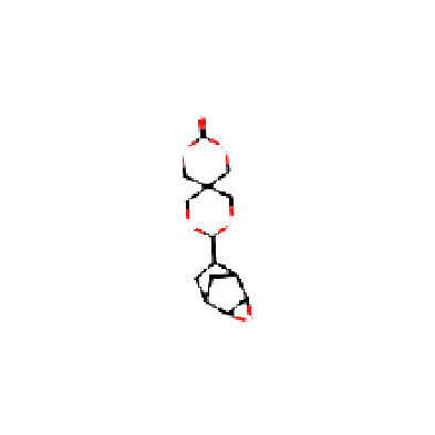 O=C1OCC2(CO1)COC(C1CC3CC1C1OC31)OC2